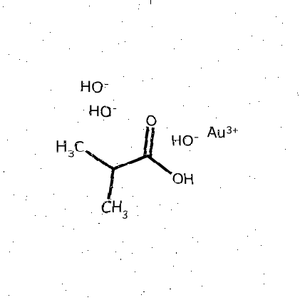 CC(C)C(=O)O.[Au+3].[OH-].[OH-].[OH-]